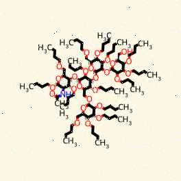 CCCCOCC1O[C@@H](OCCCC)C(NC(C)=O)[C@@H](OCCCC)[C@@H]1O[C@@H]1OC(CO[C@H]2OC(COCCCC)[C@@H](OCCCC)[C@H](OCCCC)C2OCCCC)[C@@H](OCCCC)[C@H](O[C@H]2O[C@@H](COCCCC)[C@@H](OCCCC)C(OCCCC)C2O[C@H]2O[C@@H](CO)[C@@H](OCCCC)C(OCCCC)C2OCCCC)C1OCCCC